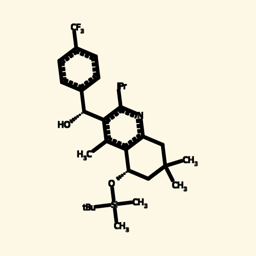 Cc1c([C@H](O)c2ccc(C(F)(F)F)cc2)c(C(C)C)nc2c1[C@@H](O[Si](C)(C)C(C)(C)C)CC(C)(C)C2